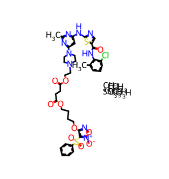 CS(=O)(=O)O.CS(=O)(=O)O.CS(=O)(=O)O.Cc1nc(Nc2ncc(C(=O)Nc3c(C)cccc3Cl)s2)cc(N2CCN(CCOC(=O)CCC(=O)OCCCCOc3no[n+]([O-])c3S(=O)(=O)c3ccccc3)CC2)n1